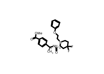 COC(=O)c1ccc([C@H](C)NC(=O)[C@H]2CC(F)(F)CCN2CCOc2ccccc2)cc1